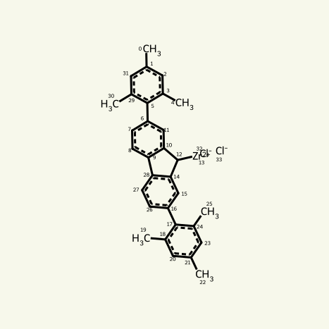 Cc1cc(C)c(-c2ccc3c(c2)[CH]([Zr+2])c2cc(-c4c(C)cc(C)cc4C)ccc2-3)c(C)c1.[Cl-].[Cl-]